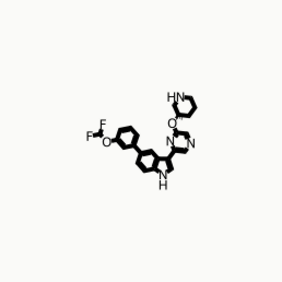 FC(F)Oc1cccc(-c2ccc3[nH]cc(-c4cncc(O[C@@H]5CCCNC5)n4)c3c2)c1